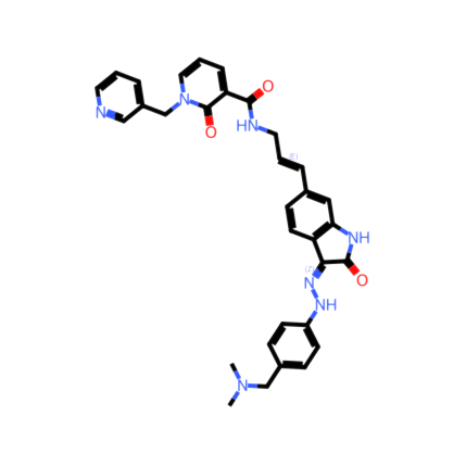 CN(C)Cc1ccc(N/N=C2\C(=O)Nc3cc(/C=C/CNC(=O)c4cccn(Cc5cccnc5)c4=O)ccc32)cc1